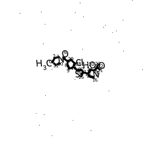 CC1CCN(C(=O)c2ccc(-c3cc(-c4ccnc(C5(O)COC5)c4)cs3)c(Cl)c2)CC1